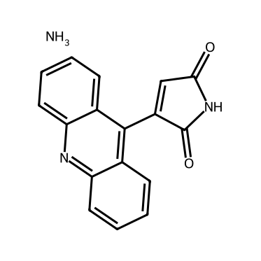 N.O=C1C=C(c2c3ccccc3nc3ccccc23)C(=O)N1